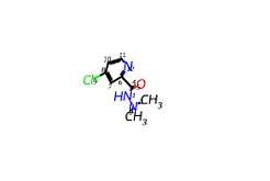 CN(C)NC(=O)c1cc(Cl)ccn1